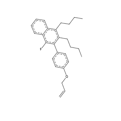 C=CCOc1ccc(-c2c(CCCC)c(CCCC)c3ccccc3c2F)cc1